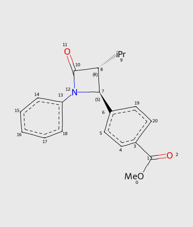 COC(=O)c1ccc([C@@H]2[C@@H](C(C)C)C(=O)N2c2ccccc2)cc1